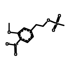 COc1cc(CCOS(C)(=O)=O)ccc1[N+](=O)[O-]